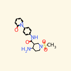 CS(=O)(=O)N1CCC(N)C(C(=O)Nc2ccc(-n3ccccc3=O)cc2)C1